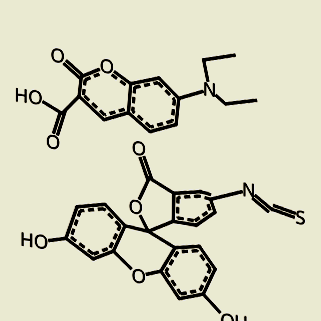 CCN(CC)c1ccc2cc(C(=O)O)c(=O)oc2c1.O=C1OC2(c3ccc(O)cc3Oc3cc(O)ccc32)c2ccc(N=C=S)cc21